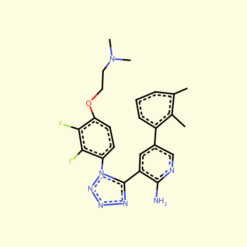 Cc1cccc(-c2cnc(N)c(-c3nnnn3-c3ccc(OCCN(C)C)c(F)c3F)c2)c1C